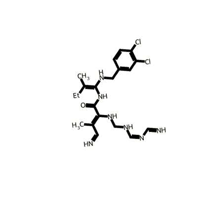 CC/C(C)=C(/NCc1ccc(Cl)c(Cl)c1)NC(=O)/C(NCN/C=N\C=N)=C(\C)C=N